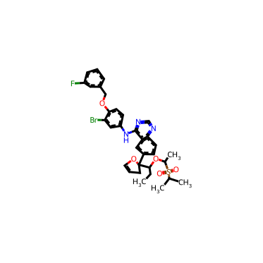 CCC(OC(C)S(=O)(=O)C(C)C)C1(c2ccc3ncnc(Nc4ccc(OCc5cccc(F)c5)c(Br)c4)c3c2)CC=CO1